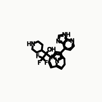 OC(C1=C/CCC/C=C(n2cc(-c3ccnc4[nH]cnc34)cn2)/C=C\1)(C1CCNCC1)C(F)(F)F